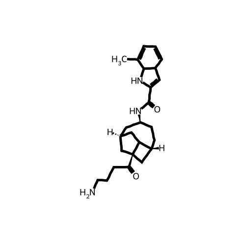 CC1=CC=CC2C=C(C(=O)N[C@H]3CC[C@@H]4C[C@]5(C(=O)CCCN)C[C@H](CC45)C3)NC12